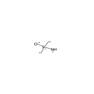 C[Si](C)([NH])Cl